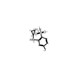 NS(=O)(=O)c1ccc(I)cc1NC1CC1